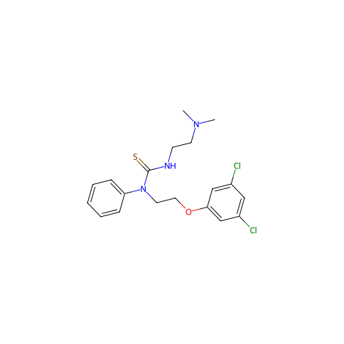 CN(C)CCNC(=S)N(CCOc1cc(Cl)cc(Cl)c1)c1ccccc1